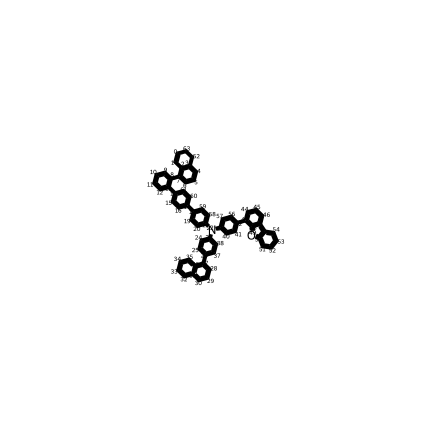 C1=Cc2c(cccc2-c2ccccc2-c2ccc(-c3ccc(N(c4ccc(-c5cccc6ccccc56)cc4)c4ccc(-c5cccc6c5oc5ccccc56)cc4)cc3)cc2)CC1